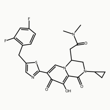 CN(C)C(=O)CC1CN(C2CC2)C(=O)c2c(O)c(=O)c(-c3ncc(Cc4ccc(F)cc4F)s3)cn21